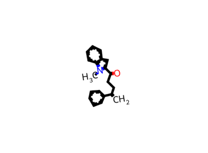 C=C(CCC(=O)c1cc2ccccc2n1C)c1ccccc1